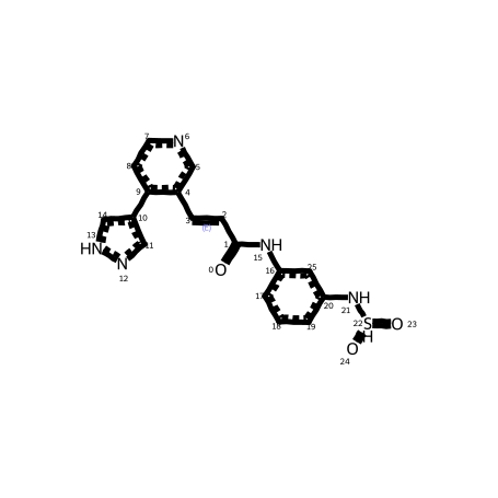 O=C(/C=C/c1cnccc1-c1cn[nH]c1)Nc1cccc(N[SH](=O)=O)c1